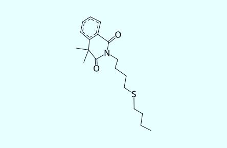 CCCCSCCCCN1C(=O)c2ccccc2C(C)(C)C1=O